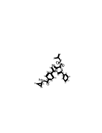 CC(C)CS(=O)(=O)c1nc(-c2ccccc2)cn2c(-c3ccc(C(=O)NC4CC4)cc3)cnc12